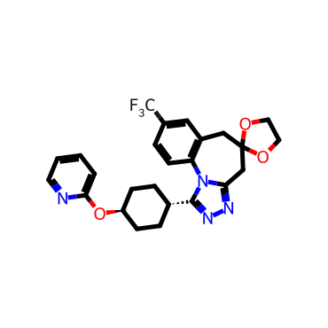 FC(F)(F)c1ccc2c(c1)CC1(Cc3nnc([C@H]4CC[C@H](Oc5ccccn5)CC4)n3-2)OCCO1